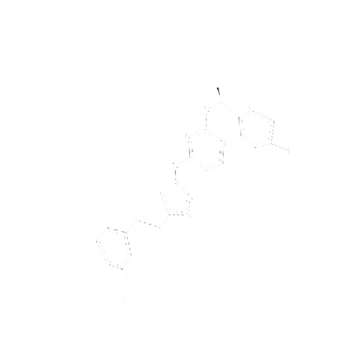 COc1cccc(CCc2cc(Nc3ccnc(N[C@@H](C)c4ccc(F)cn4)n3)[nH]n2)c1